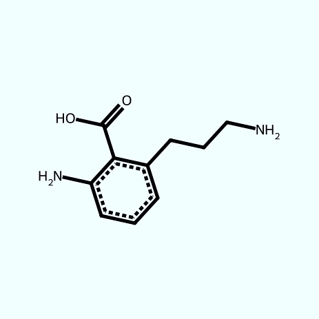 NCCCc1cccc(N)c1C(=O)O